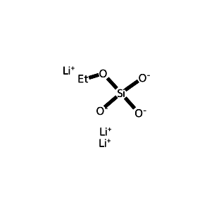 CCO[Si]([O-])([O-])[O-].[Li+].[Li+].[Li+]